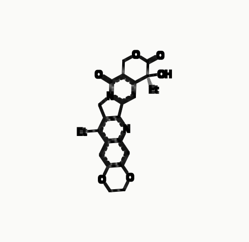 CCc1c2c(nc3cc4c(cc13)OCCO4)-c1cc3c(c(=O)n1C2)COC(=O)[C@]3(O)CC